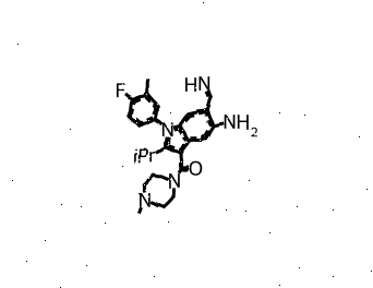 Cc1cc(-n2c(C(C)C)c(C(=O)N3CCN(C)CC3)c3cc(N)c(C=N)cc32)ccc1F